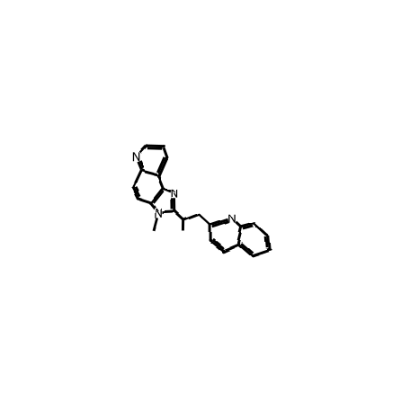 CC(Cc1ccc2ccccc2n1)c1nc2c3cccnc3ccc2n1C